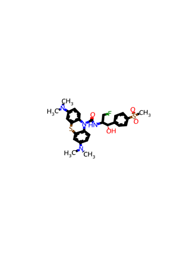 CN(C)c1ccc2c(c1)Sc1cc(N(C)C)ccc1N2C(=O)NC(CF)[C@@H](O)c1ccc(S(C)(=O)=O)cc1